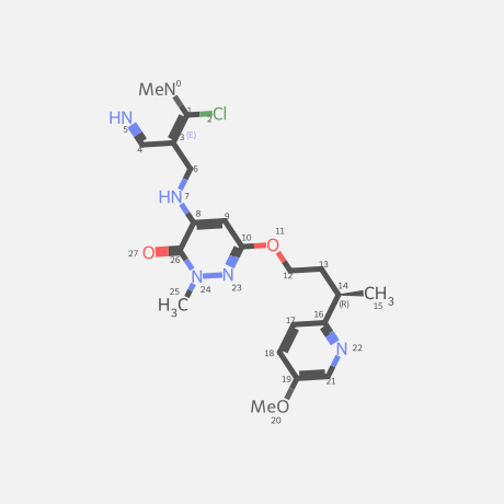 CN/C(Cl)=C(\C=N)CNc1cc(OCC[C@@H](C)c2ccc(OC)cn2)nn(C)c1=O